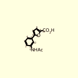 CC(=O)Nc1cccc(-c2ccc(C(=O)O)o2)c1